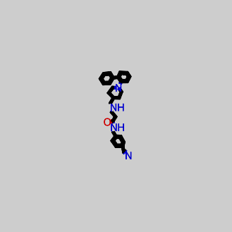 N#Cc1ccc(CNC(=O)CCNCC2CCN(c3ccccc3-c3ccccc3)CC2)cc1